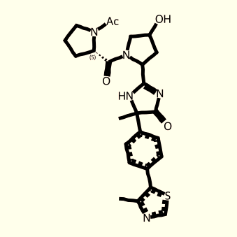 CC(=O)N1CCC[C@H]1C(=O)N1CC(O)CC1C1=NC(=O)C(C)(c2ccc(-c3scnc3C)cc2)N1